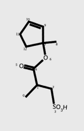 CC(CS(=O)(=O)O)C(=O)OC1(C)C=CCC1